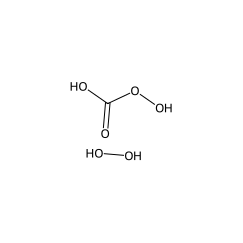 O=C(O)OO.OO